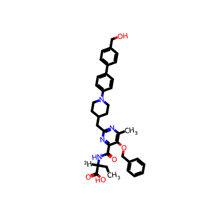 [2H]C(CC)(NC(=O)c1nc(CC2CCN(c3ccc(-c4ccc(CO)cc4)cc3)CC2)nc(C)c1OCc1ccccc1)C(=O)O